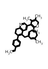 C=Cc1ccc(C2=C(CC3=CC=CCC(C)=C3)c3cc(C4=C(C)OCC(C)=C4C)cnc3CC2)cc1